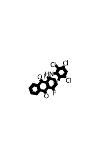 O=C1C2=C(C(=O)c3ccccc31)C(F)(Nc1c(Cl)c(Cl)cc(Cl)c1Cl)CC=C2F